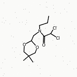 CCCN(CC1OCC(C)(C)CO1)C(=O)C(Cl)Cl